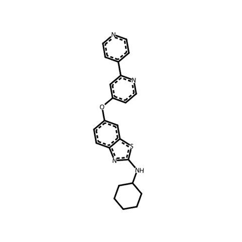 c1cc(-c2cc(Oc3ccc4nc(NC5CCCCC5)sc4c3)ccn2)ccn1